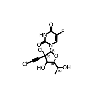 C[C@H](O)[C@H]1O[C@@H](n2cc(F)c(=O)[nH]c2=O)[C@@](Cl)(C#CCl)C1O